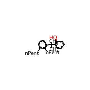 CCCCCc1cccc(C(C)(C)c2ccccc2O)c1CCCCC